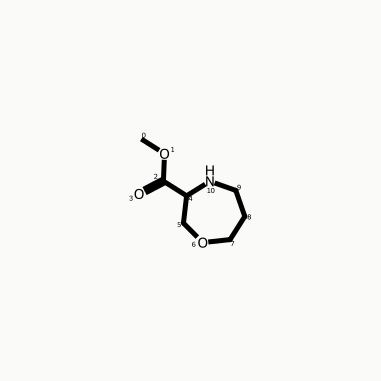 COC(=O)C1COCCCN1